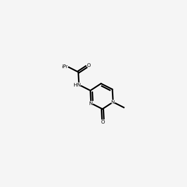 CC(C)C(=O)Nc1ccn(C)c(=O)n1